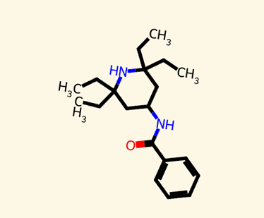 CCC1(CC)CC(NC(=O)c2ccccc2)CC(CC)(CC)N1